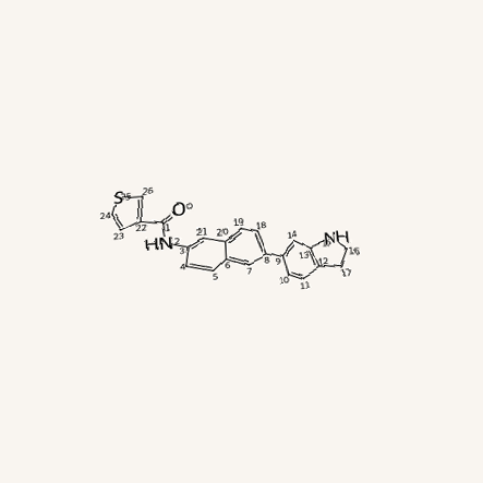 O=C(Nc1ccc2cc(-c3ccc4c(c3)NCC4)ccc2c1)c1ccsc1